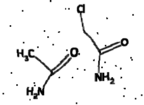 CC(N)=O.NC(=O)CCl